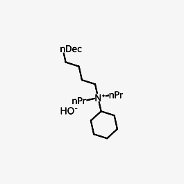 CCCCCCCCCCCCCC[N+](CCC)(CCC)C1CCCCC1.[OH-]